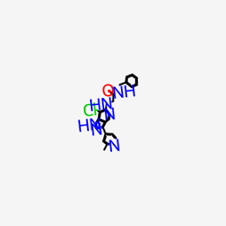 Cc1cc(-c2n[nH]c3c(Cl)c(NCC(=O)NCc4ccccc4)ncc23)ccn1